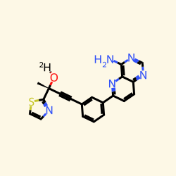 [2H]O[C@](C)(C#Cc1cccc(-c2ccc3ncnc(N)c3n2)c1)c1nccs1